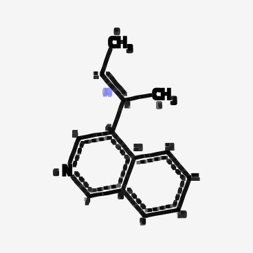 C/C=C(\C)c1cncc2ccccc12